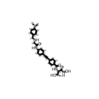 C[C@@H](O)[C@H](NC(=O)c1ccc(C#Cc2ccc(NC(=O)CNCc3ccc(N(C)C)cc3)cc2)cc1)C(=O)NO